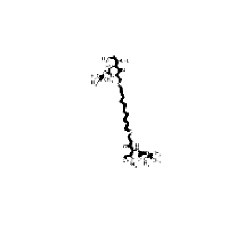 CC[C@H](C)[C@H](NC(=O)OC(C)(C)C)C(=O)CCSCCCCCCCCCCSCCC(=O)[C@@H](NC(=O)OC(C)(C)C)[C@@H](C)CC